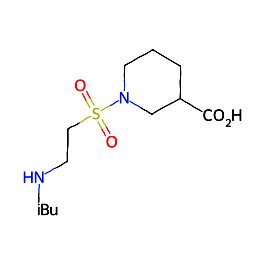 CCC(C)NCCS(=O)(=O)N1CCCC(C(=O)O)C1